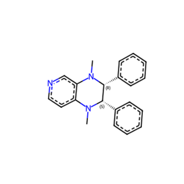 CN1c2cnccc2N(C)[C@@H](c2ccccc2)[C@H]1c1ccccc1